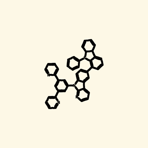 C1=CC2c3cccc(-c4ccc5c(c4)c4cccnc4n5-c4cc(-c5ccccn5)cc(-c5ccccn5)c4)c3N(c3ccccc3)C2C=C1